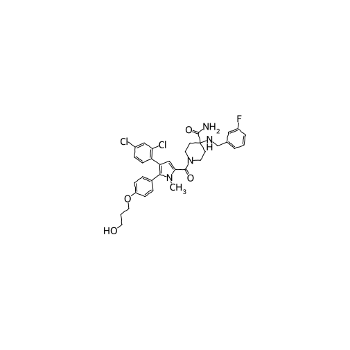 Cn1c(C(=O)N2CCC(NCc3cccc(F)c3)(C(N)=O)CC2)cc(-c2ccc(Cl)cc2Cl)c1-c1ccc(OCCCO)cc1